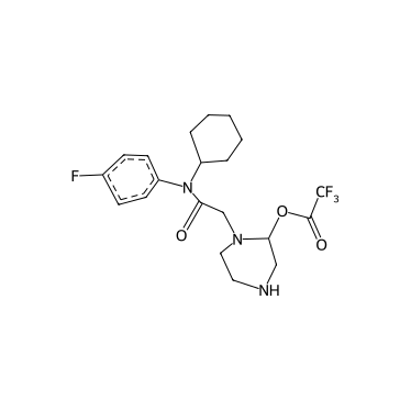 O=C(CN1CCNCC1OC(=O)C(F)(F)F)N(c1ccc(F)cc1)C1CCCCC1